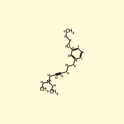 CCCOc1cccc(CCCC#CCN(CC)CC)c1